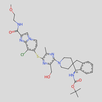 COCCNC(=O)c1cn2ccc(Sc3nc(CO)c(N4CCC5(CC4)Cc4ccccc4[C@H]5NC(=O)OC(C)(C)C)nc3C)c(Cl)c2n1